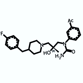 CC(=O)c1cccc(N(C[C@](C)(O)CN2CCC(Cc3ccc(F)cc3)CC2)C(N)=O)c1